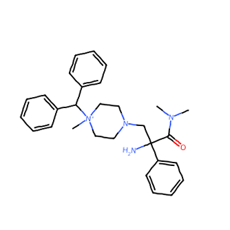 CN(C)C(=O)C(N)(CN1CC[N+](C)(C(c2ccccc2)c2ccccc2)CC1)c1ccccc1